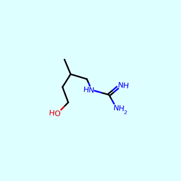 CC(CCO)CNC(=N)N